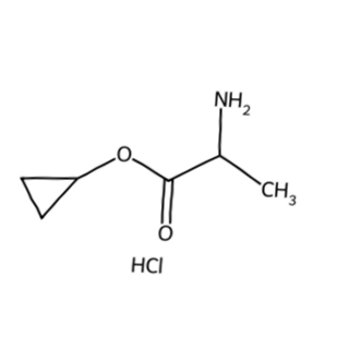 CC(N)C(=O)OC1CC1.Cl